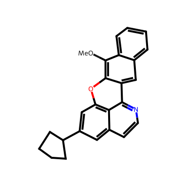 COc1c2c(cc3ccccc13)-c1nccc3cc(C4CCCC4)cc(c13)O2